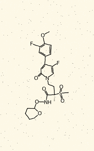 COc1ccc(-c2cc(=O)n(CC[C@](C)(C(=O)NOC3CCCCO3)S(C)(=O)=O)cc2F)cc1F